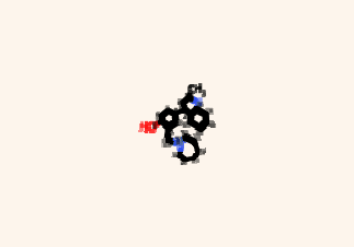 Cc1cc(-c2ccc(O)c(CN3CCCCCC3)c2)c2ccccc2n1